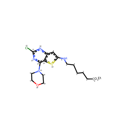 CCOC(=O)CCCCCNc1cc2nc(Cl)nc(N3CCOCC3)c2s1